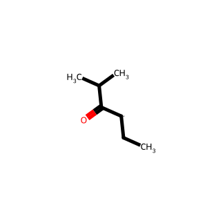 CC[CH]C(=O)C(C)C